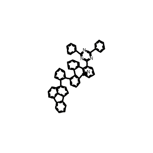 N#Cc1cccc(-c2ccccc2-c2ccc3c4c(cccc24)-c2ccccc2-3)c1-c1ccccc1-c1ccccc1-c1nc(-c2ccccc2)nc(-c2ccccc2)n1